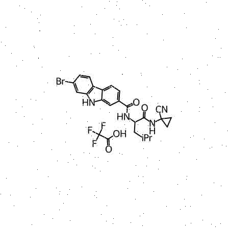 CC(C)CC(NC(=O)c1ccc2c(c1)[nH]c1cc(Br)ccc12)C(=O)NC1(C#N)CC1.O=C(O)C(F)(F)F